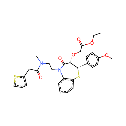 CCOC(=O)CO[C@H]1C(=O)N(CCN(C)C(=O)Cc2cccs2)c2ccccc2S[C@H]1c1ccc(OC)cc1